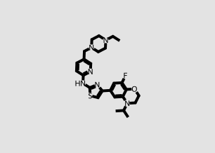 CCN1CCN(Cc2ccc(Nc3nc(-c4cc(F)c5c(c4)N(C(C)C)CCO5)cs3)nc2)CC1